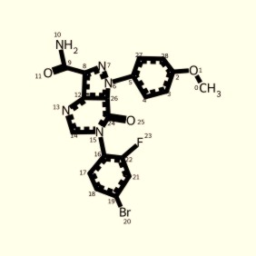 COc1ccc(-n2nc(C(N)=O)c3ncn(-c4ccc(Br)cc4F)c(=O)c32)cc1